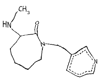 CNC1CCCCN(Cc2cccnc2)C1=O